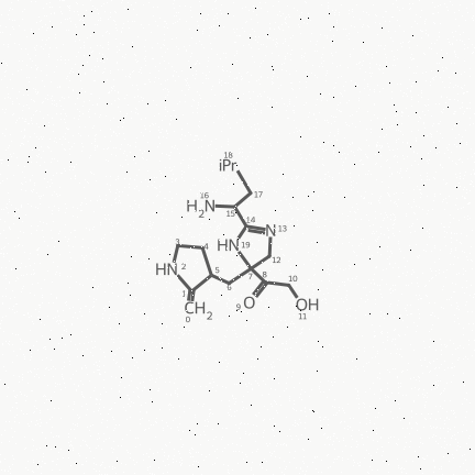 C=C1NCCC1CC1(C(=O)CO)CN=C(C(N)CC(C)C)N1